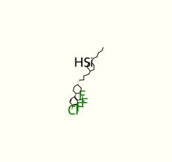 CCCCC[SiH]1CCC(CCCC[C@H]2CC[C@H](c3ccc(Cl)c(F)c3C(F)F)CC2)CC1